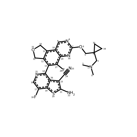 CN(C)CC1(COc2ncc3c4c(c(-c5ncc(F)c6sc(N)c(C#N)c56)c(F)c3n2)COC4)CC1